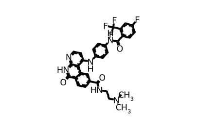 CN(C)CCNC(=O)c1ccc2c(=O)[nH]c3nccc(Nc4ccc(NC(=O)c5ccc(F)cc5C(F)(F)F)cc4)c3c2c1